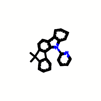 CC1(C)c2ccccc2-c2c1ccc1c3ccccc3n(-c3ccccn3)c21